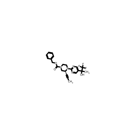 CC#C[C@H]1CN(C(=O)OCc2ccccc2)CCN1c1ncc(C(C)(O)C(F)(F)F)cn1